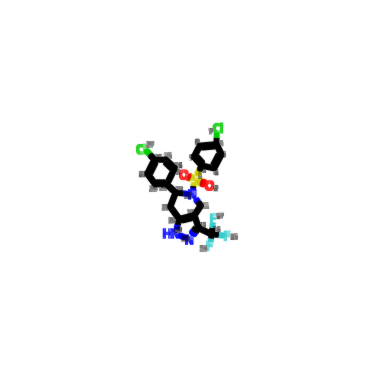 O=S(=O)(c1ccc(Cl)cc1)N1Cc2c(C(F)(F)F)n[nH]c2CC1c1ccc(Cl)cc1